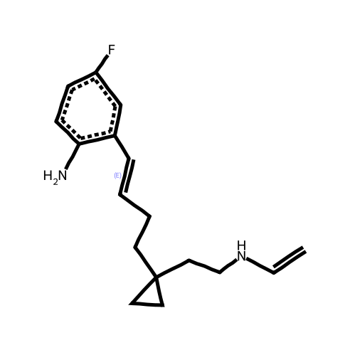 C=CNCCC1(CC/C=C/c2cc(F)ccc2N)CC1